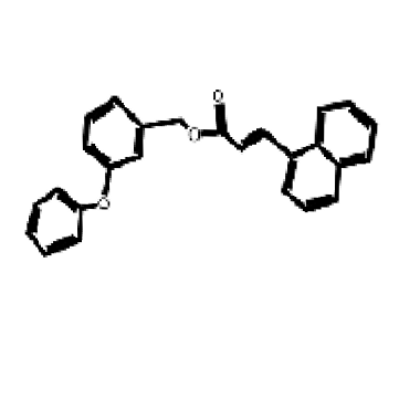 O=C(C=Cc1cccc2ccccc12)OCc1cccc(Oc2ccccc2)c1